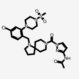 CC(=O)Nc1ccn(C(=O)N2CCC3(CCCN3Cc3ccc(Cl)cc3N3CCN(S(C)(=O)=O)CC3)CC2)n1